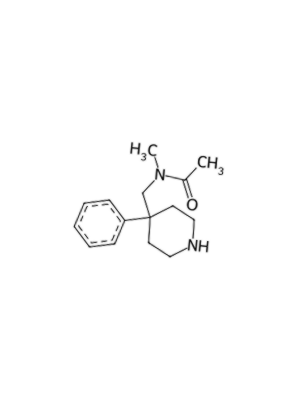 CC(=O)N(C)CC1(c2ccccc2)CCNCC1